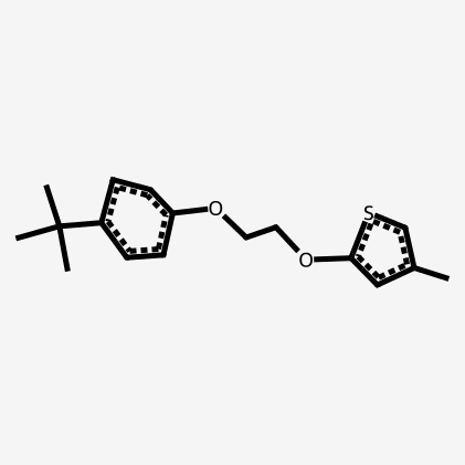 Cc1csc(OCCOc2ccc(C(C)(C)C)cc2)c1